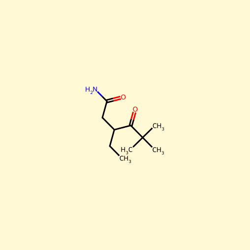 CCC(CC(N)=O)C(=O)C(C)(C)C